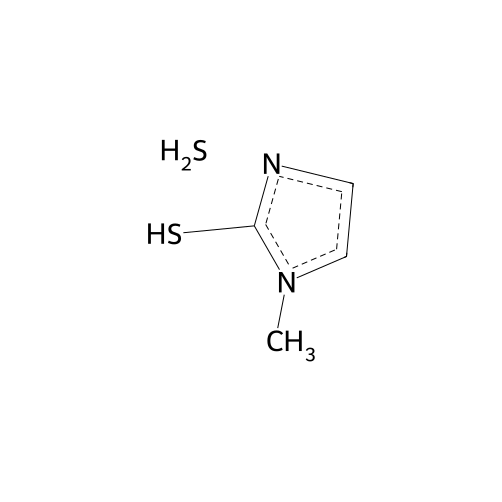 Cn1ccnc1S.S